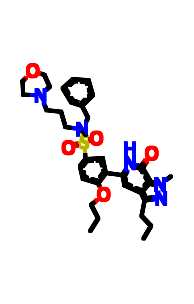 CCCOc1ccc(S(=O)(=O)N(CCCN2CCOCC2)Cc2ccccc2)cc1-c1cc2c(CCC)nn(C)c2c(=O)[nH]1